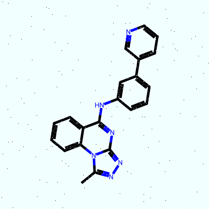 Cc1nnc2nc(Nc3cccc(-c4cccnc4)c3)c3ccccc3n12